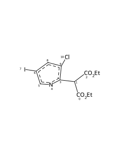 CCOC(=O)C(C(=O)OCC)c1ncc(I)cc1Cl